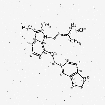 CC(C)=CCn1c(C)c(C)c2nccc(OCc3ccc4c(c3)OCO4)c21.Cl